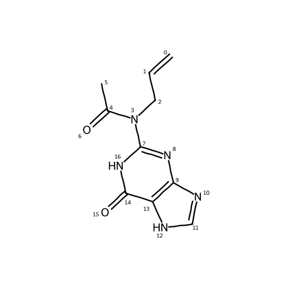 C=CCN(C(C)=O)c1nc2nc[nH]c2c(=O)[nH]1